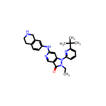 CCn1c(=O)c2cnc(Nc3ccc4c(c3)CNCC4)cc2n1-c1cccc(C(C)(C)C)n1